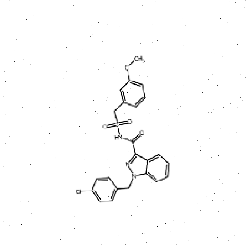 COc1cccc(CS(=O)(=O)NC(=O)c2nn(Cc3ccc(Cl)cc3)c3ccccc23)c1